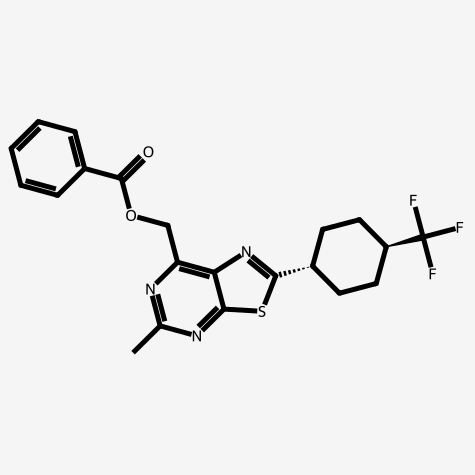 Cc1nc(COC(=O)c2ccccc2)c2nc([C@H]3CC[C@H](C(F)(F)F)CC3)sc2n1